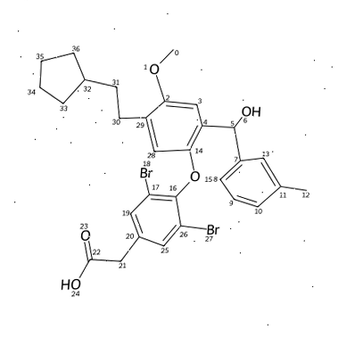 COc1cc(C(O)c2cccc(C)c2)c(Oc2c(Br)cc(CC(=O)O)cc2Br)cc1CCC1CCCC1